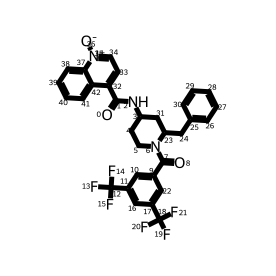 O=C(NC1CCN(C(=O)c2cc(C(F)(F)F)cc(C(F)(F)F)c2)C(Cc2ccccc2)C1)c1cc[n+]([O-])c2ccccc12